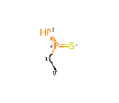 CCP(=P)=S